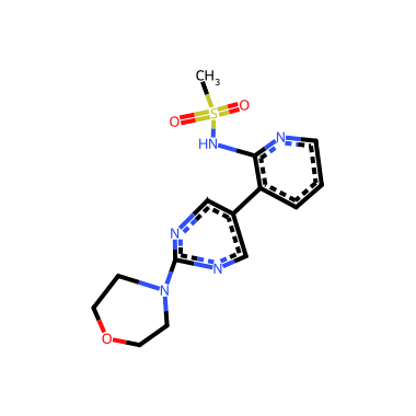 CS(=O)(=O)Nc1ncccc1-c1[c]nc(N2CCOCC2)nc1